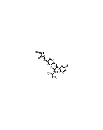 CC(C)NC(=O)/C(=C\c1ccc(/C=C/C(=O)NO)cc1)c1cccc(F)c1